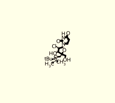 CC(C)(C)[Si](C)(C)OC[C@]1(CO)O[C@@H](n2ccc(=O)[nH]c2=O)[C@H](Cl)[C@@H]1O